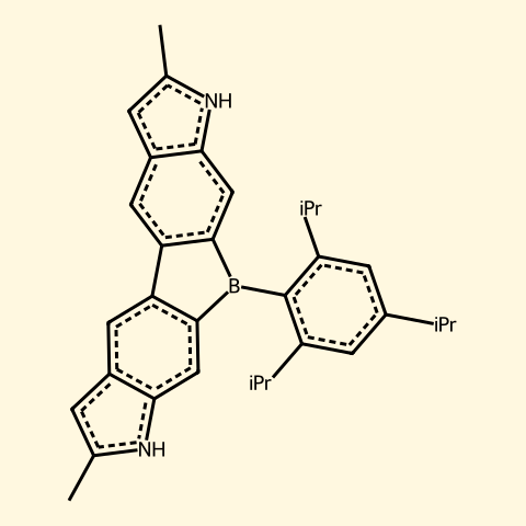 Cc1cc2cc3c(cc2[nH]1)B(c1c(C(C)C)cc(C(C)C)cc1C(C)C)c1cc2[nH]c(C)cc2cc1-3